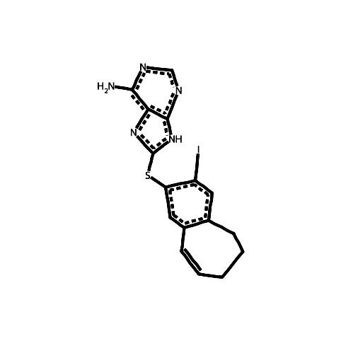 Nc1ncnc2[nH]c(Sc3cc4c(cc3I)CCCC=C4)nc12